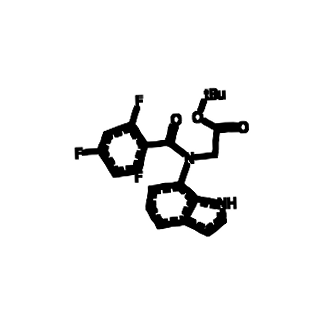 CC(C)(C)OC(=O)CN(C(=O)c1c(F)cc(F)cc1F)c1cccc2cc[nH]c12